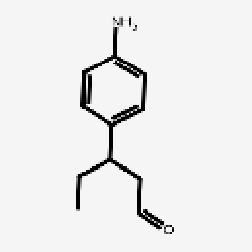 CCC(CC=O)c1ccc(N)cc1